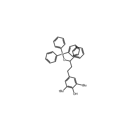 CC(C)(C)c1cc(CCC(O[Si](c2ccccc2)(c2ccccc2)c2ccccc2)c2ccccc2)cc(C(C)(C)C)c1O